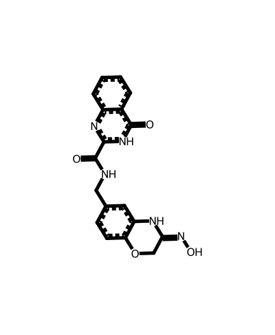 O=C(NCc1ccc2c(c1)N/C(=N/O)CO2)c1nc2ccccc2c(=O)[nH]1